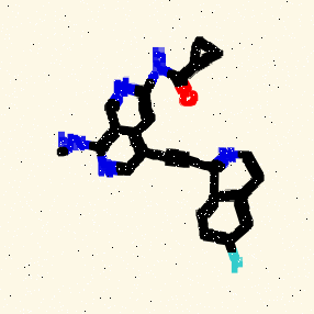 CNc1ncc(C#Cc2nccc3cc(F)ccc23)c2cc(NC(=O)C3CC3)ncc12